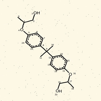 CC(CO)Oc1ccc(C(C)(C)c2ccc(OC(C)CO)cc2)cc1